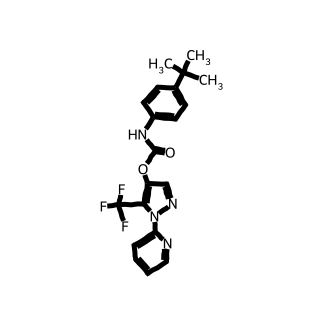 CC(C)(C)c1ccc(NC(=O)Oc2cnn(-c3ccccn3)c2C(F)(F)F)cc1